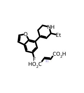 CCC1C=C(c2cc(F)cc3ccoc23)CCN1.O=C(O)/C=C/C(=O)O